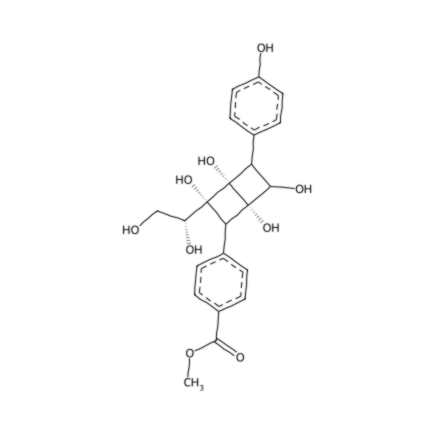 COC(=O)c1ccc(C2[C@]3(O)C(O)C(c4ccc(O)cc4)[C@]3(O)[C@]2(O)[C@H](O)CO)cc1